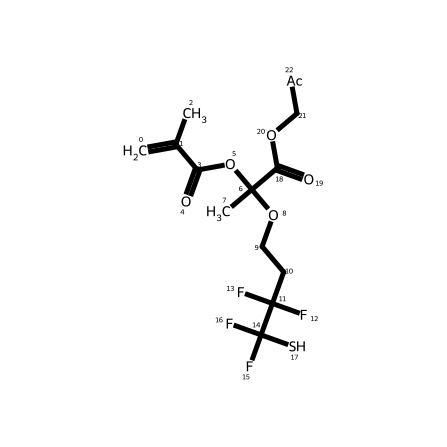 C=C(C)C(=O)OC(C)(OCCC(F)(F)C(F)(F)S)C(=O)OCC(C)=O